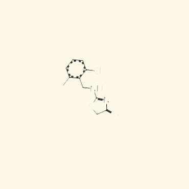 Cc1cccc(Cl)c1CNC1=NC(=O)CS1